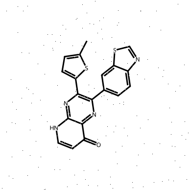 Cc1ccc(-c2nc3[nH]ccc(=O)c3nc2-c2ccc3ncsc3c2)s1